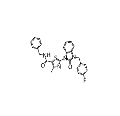 Cc1nc(-n2c(=O)n(Cc3ccc(F)cc3)c3ccccc32)sc1C(=O)NCc1ccccc1